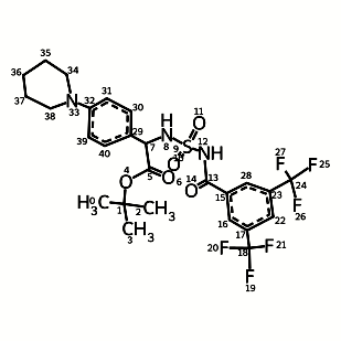 CC(C)(C)OC(=O)C(NS(=O)(=O)NC(=O)c1cc(C(F)(F)F)cc(C(F)(F)F)c1)c1ccc(N2CCCCC2)cc1